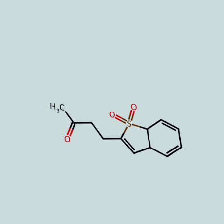 CC(=O)CCC1=CC2C=CC=CC2S1(=O)=O